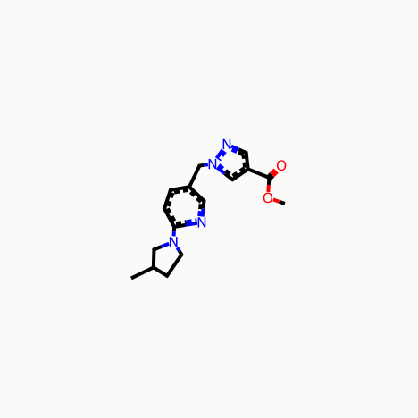 COC(=O)c1cnn(Cc2ccc(N3CCC(C)C3)nc2)c1